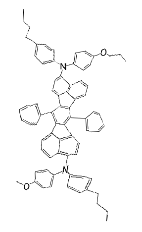 CCCCc1ccc(N(c2ccc(OC)cc2)c2ccc3c4c(-c5ccccc5)c5c6cccc7c(N(c8ccc(CCCC)cc8)c8ccc(OCCC)cc8)ccc(c5c(-c5ccccc5)c4c4cccc2c43)c76)cc1